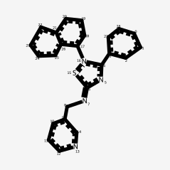 c1ccc(-c2n/c(=N/Cc3cccnc3)sn2-c2cccc3ccccc23)cc1